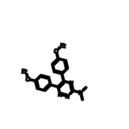 CCOc1ccc(-c2nnc(N(C)C)nc2-c2ccc(OCC)cc2)cc1